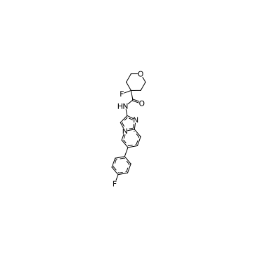 O=C(Nc1cn2cc(-c3ccc(F)cc3)ccc2n1)C1(F)CCOCC1